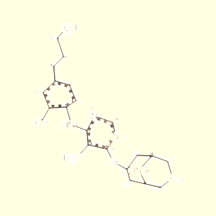 Cc1c(Nc2ccc(CCCO)cc2Cl)ncnc1OC1CC2COCC(C1)N2